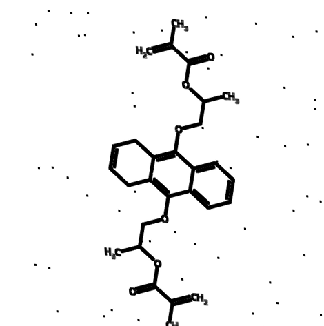 C=C(C)C(=O)OC(C)COc1c2c(c(OCC(C)OC(=O)C(=C)C)c3ccccc13)CC=CC2